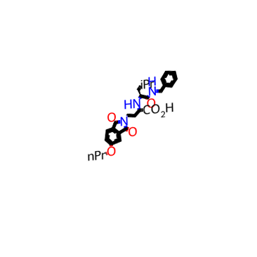 CCCOc1ccc2c(c1)C(=O)N(CCC(N[C@@H](CC(C)C)C(=O)NCc1ccccc1)C(=O)O)C2=O